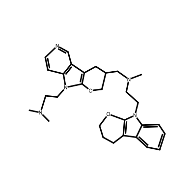 CN(C)CCn1c2c(c3cnccc31)CC(CN(C)CCn1c3c(c4ccccc41)CCCO3)CO2